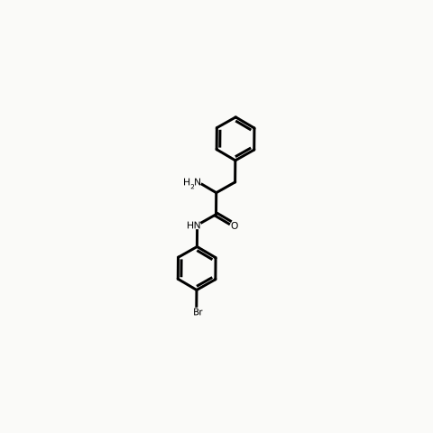 NC(Cc1ccccc1)C(=O)Nc1ccc(Br)cc1